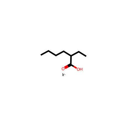 CCCCC(CC)C(=O)O.[Ir]